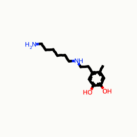 Cc1cc(O)c(O)cc1CCNCCCCCCN